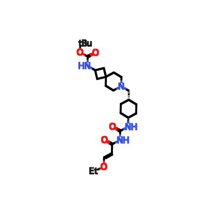 CCOC=CC(=O)NC(=O)N[C@H]1CC[C@H](CN2CCC3(CC2)CC(NC(=O)OC(C)(C)C)C3)CC1